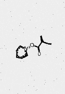 C=C(C)C(=O)O[n+]1ccccc1